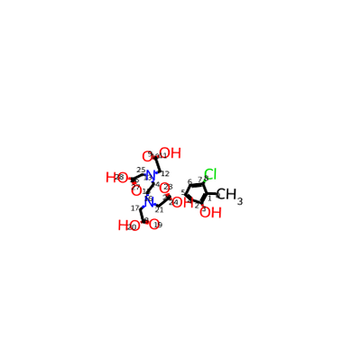 Cc1c(O)cccc1Cl.O=C(O)CN(CCN(CC(=O)O)CC(=O)O)CC(=O)O